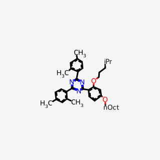 CCCCCCCCOc1ccc(-c2nc(-c3ccc(C)cc3C)nc(-c3ccc(C)cc3C)n2)c(OCCCC(C)C)c1